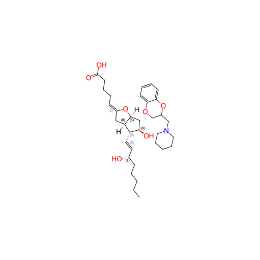 CCCCC[C@H](O)/C=C/[C@@H]1[C@H]2C/C(=C/CCCC(=O)O)O[C@H]2C[C@H]1O.c1ccc2c(c1)OCC(CN1CCCCC1)O2